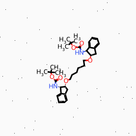 CC(C)(C)OC(=O)N[C@H]1c2ccccc2C[C@H]1OCCCCCCO[C@@H]1Cc2ccccc2[C@@H]1NC(=O)OC(C)(C)C